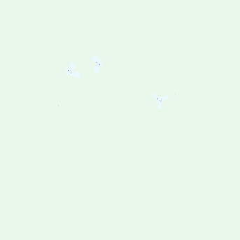 COc1nccnc1-c1ccc2c(c1)CN(C)CC2c1ccc2occc2c1